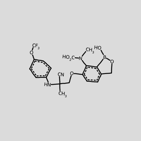 CN(C(=O)O)c1c(OCC(C)(C#N)Nc2ccc(OC(F)(F)F)cc2)ccc2c1B(O)OC2